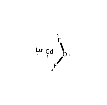 FOF.[Gd].[Lu]